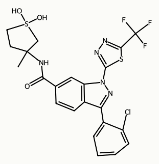 CC1(NC(=O)c2ccc3c(-c4ccccc4Cl)nn(-c4nnc(C(F)(F)F)s4)c3c2)CCS(O)(O)C1